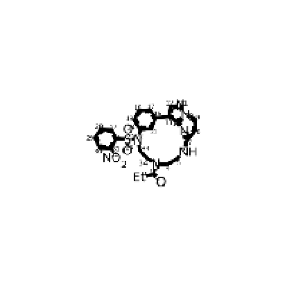 CCC(=O)N1CCNc2ccn3ncc(c3n2)-c2cccc(c2)N(S(=O)(=O)c2ccccc2[N+](=O)[O-])CC1